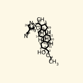 CCOC[C@@]1(O)CC[C@H]2[C@H](CC[C@@H]3[C@@H]2CC[C@]2(C)C([C@@H](C)n4cc(C#N)cn4)CC[C@@H]32)C1